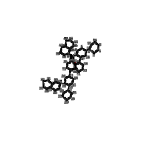 c1ccc(-c2ccc(N(c3ccc(-c4ccc(-c5ccccc5)c(-c5ccc6ccccc6c5)c4)cc3)c3cccc4ccccc34)c(-c3ccccc3)c2)cc1